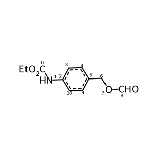 CCOC(=O)Nc1ccc(COC=O)cc1